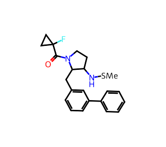 CSNC1CCN(C(=O)C2(F)CC2)C1Cc1cccc(-c2ccccc2)c1